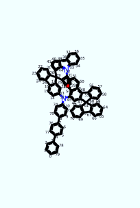 c1ccc(-c2ccc(-c3ccc(N(c4ccc5c(c4)C4(c6ccccc6-5)c5ccccc5-n5c6ccccc6c6cccc4c65)c4cc5c(c6ccccc46)-c4ccccc4C54c5ccccc5-c5ccccc54)cc3)cc2)cc1